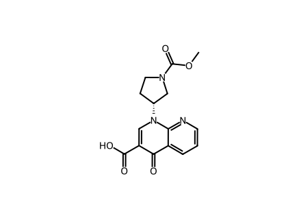 COC(=O)N1CC[C@@H](n2cc(C(=O)O)c(=O)c3cccnc32)C1